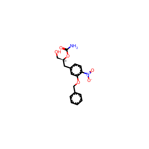 NC(=O)O[C@H](CO)Cc1ccc([N+](=O)[O-])c(OCc2ccccc2)c1